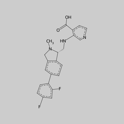 CN1Cc2cc(-c3ccc(F)cc3F)ccc2[C@H]1CNc1cnccc1C(=O)O